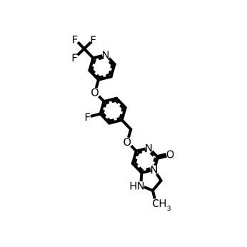 CC1Cn2c(cc(OCc3ccc(Oc4ccnc(C(F)(F)F)c4)c(F)c3)nc2=O)N1